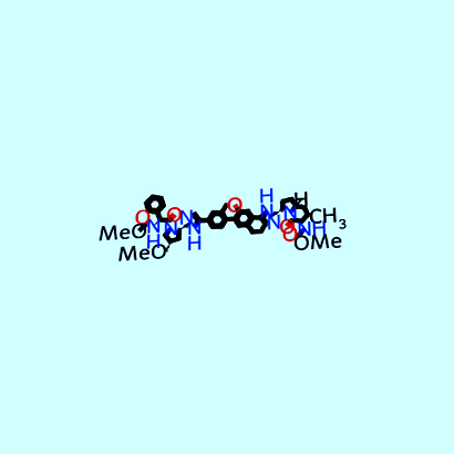 COC[C@H]1C[C@@H](c2ncc(-c3ccc4c(c3)COc3cc5c(cc3-4)CCc3nc([C@@H]4CC[C@@H]6CC(C)[C@H](NC(=O)OC)C(=O)N64)[nH]c3-5)[nH]2)N(C(=O)[C@H](NC(=O)OC)c2ccccc2)C1